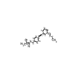 CCCOc1cc(C#Cc2ccc(CCNC(C)=O)cc2)ccn1